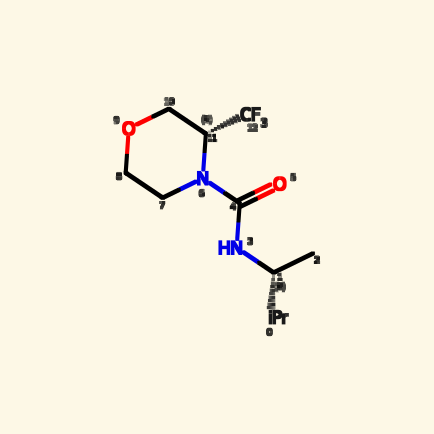 CC(C)[C@@H](C)NC(=O)N1CCOC[C@@H]1C(F)(F)F